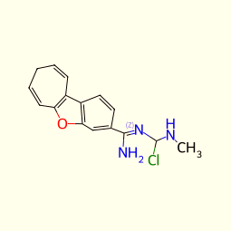 CNC(Cl)/N=C(\N)c1ccc2c3c(oc2c1)C=CCC=C3